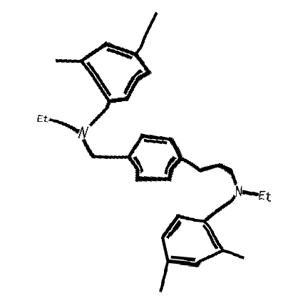 CCN(Cc1ccc(CN(CC)c2ccc(C)cc2C)cc1)c1ccc(C)cc1C